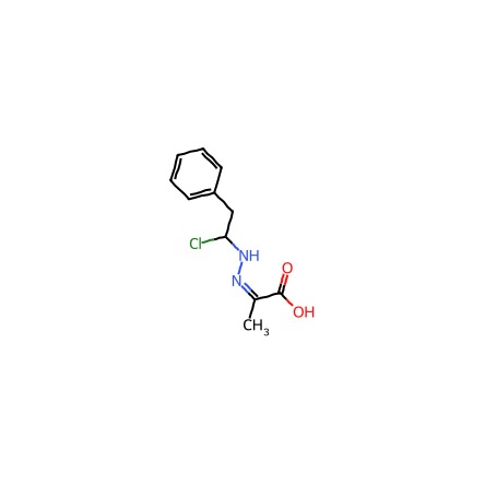 CC(=NNC(Cl)Cc1ccccc1)C(=O)O